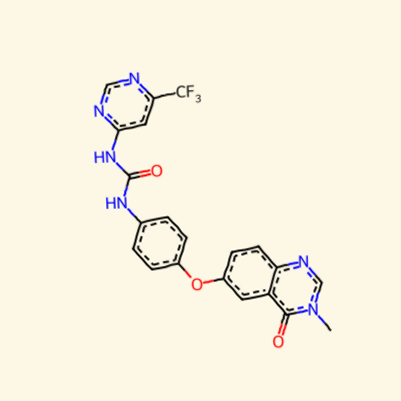 Cn1cnc2ccc(Oc3ccc(NC(=O)Nc4cc(C(F)(F)F)ncn4)cc3)cc2c1=O